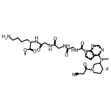 COC(=O)[C@@H](CCCCN)NC(=O)CNC(=O)CNC(=O)CNC(=O)n1ccc2c(N(C)C3CN(C(=O)CC#N)CC[C@H]3F)ncnc21